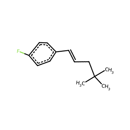 CC(C)(C)C/C=C/c1ccc(F)cc1